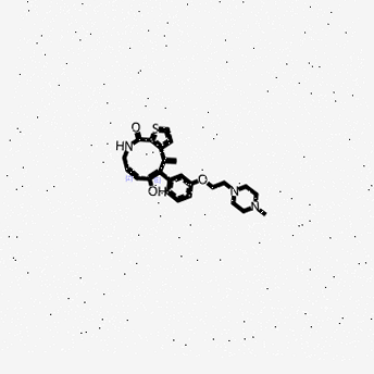 C=C1/C(c2cccc(OCCN3CCN(C)CC3)c2)=C(O)\C=C/CNC(=O)c2sccc21